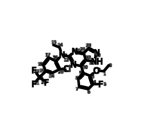 CCOc1c(F)cccc1-c1nc(N(CC)c2ccc(C(F)(F)F)cc2Cl)nc2cn[nH]c12